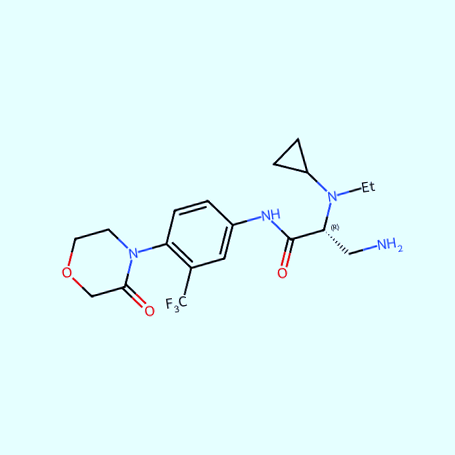 CCN(C1CC1)[C@H](CN)C(=O)Nc1ccc(N2CCOCC2=O)c(C(F)(F)F)c1